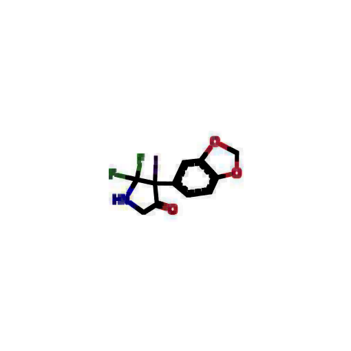 O=C1CNC(F)(F)C1(I)c1ccc2c(c1)OCO2